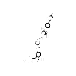 CNC(=O)c1n[nH]c2ccc(NC(=O)[C@@H]3CCN(CC(=O)N4C[C@@H]5C[C@H]4CN5c4ccc(-c5ncc(C)cn5)cc4)C3)cc12